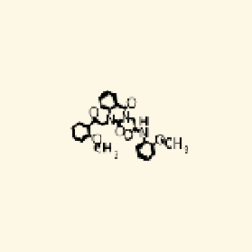 COc1ccccc1NC(=O)Cn1c(=O)c2ccccc2n(CC(=O)c2ccccc2OC)c1=O